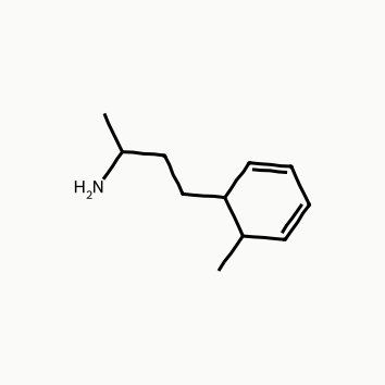 CC(N)CCC1C=CC=CC1C